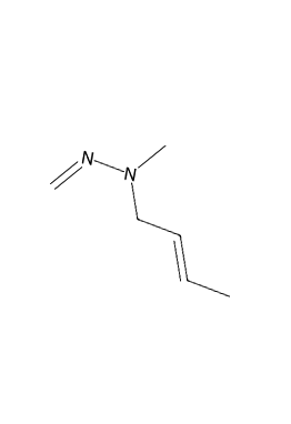 C=NN(C)CC=CC